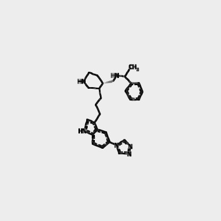 CC(NC[C@H]1CCNCC1CCCc1c[nH]c2ccc(-n3cnnc3)cc12)c1ccccc1